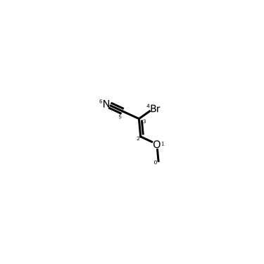 CO/C=C(\Br)C#N